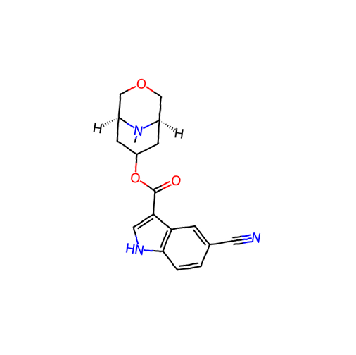 CN1[C@@H]2COC[C@H]1CC(OC(=O)c1c[nH]c3ccc(C#N)cc13)C2